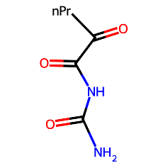 CCCC(=O)C(=O)NC(N)=O